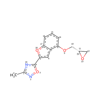 Cc1noc(-c2cc3c(OC[C@@H]4CO4)cccc3o2)n1